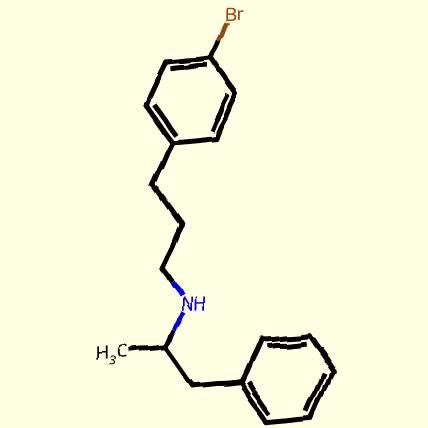 CC(Cc1ccccc1)NCCCc1ccc(Br)cc1